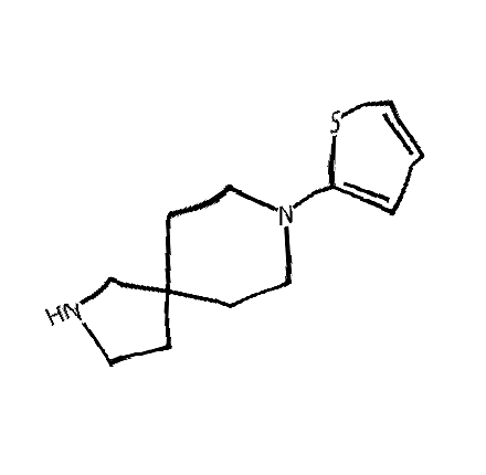 c1csc(N2CCC3(CCNC3)CC2)c1